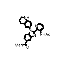 CNC(=O)c1ccc2c(c1)nc(-c1ncccc1NC(C)=O)n2-c1ccc2c(c1)CCCN2